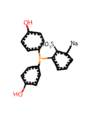 O=S(=O)(O)c1[c]([Na])cccc1P(c1ccc(O)cc1)c1ccc(O)cc1